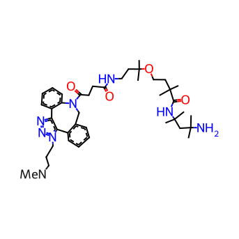 CNCCCn1nnc2c1-c1ccccc1CN(C(=O)CCC(=O)NCCC(C)(C)OCCC(C)(C)C(=O)NC(C)(C)CC(C)(C)N)c1ccccc1-2